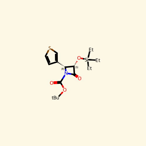 CC[Si](CC)(CC)O[C@@H]1C(=O)N(C(=O)OC(C)(C)C)[C@@H]1c1ccsc1